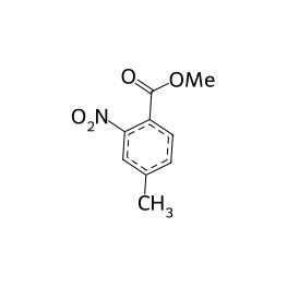 COC(=O)c1ccc(C)cc1[N+](=O)[O-]